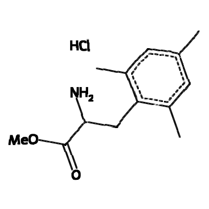 COC(=O)C(N)Cc1c(C)cc(C)cc1C.Cl